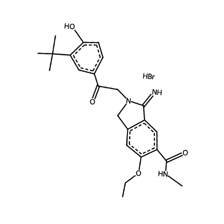 Br.CCOc1cc2c(cc1C(=O)NC)C(=N)N(CC(=O)c1ccc(O)c(C(C)(C)C)c1)C2